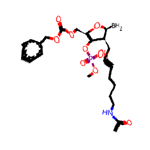 B[C@@H]1O[C@H](COC(=O)OCc2ccccc2)C(OP(=O)(O)OC)[C@@H]1C/C=C/CCCCNC(C)=O